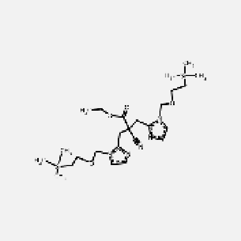 CCOC(=O)C(C#N)(Cc1nccn1COCC[Si](C)(C)C)Cc1nccn1COCC[Si](C)(C)C